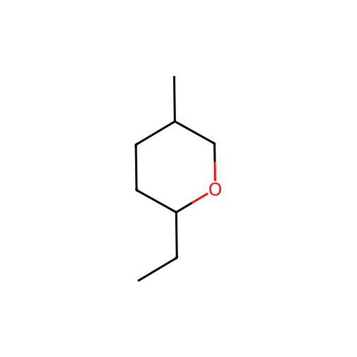 CCC1CCC(C)CO1